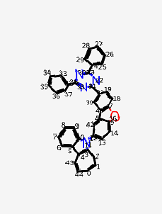 C1=CCc2c(c3ccccc3n2-c2ccc3oc4ccc(-c5nc(-c6ccccc6)nc(-c6ccccc6)n5)cc4c3c2)C=C1